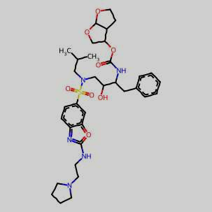 CC(C)CN(CC(O)C(Cc1ccccc1)NC(=O)OC1COC2OCCC12)S(=O)(=O)c1ccc2nc(NCCN3CCCC3)oc2c1